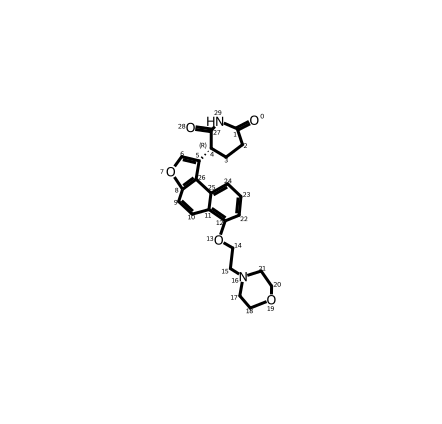 O=C1CC[C@H](c2coc3ccc4c(OCCN5CCOCC5)cccc4c23)C(=O)N1